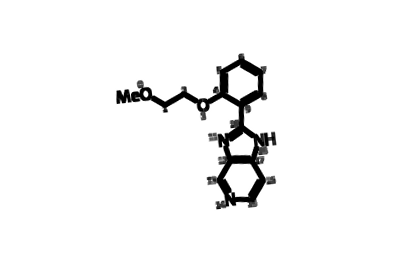 COCCOc1ccccc1-c1nc2cnccc2[nH]1